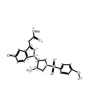 CCOc1ccc(S(=O)(=O)N2C[C@@H](C)[C@@H](n3nc(CC(=O)OC)c4cc(Cl)ccc43)C2)cc1